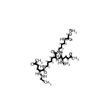 CCNNC(CCC(C)=O)C(=O)NCCCCC(NC(=O)C(CCC(C)=O)NC)C(=O)NCCCCNC(=O)CON